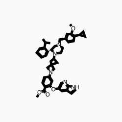 COC(=O)c1ccc(N2CC3(CC(N4CCN(Cc5ccc(C6CC6)c(OC)c5)C[C@H]4c4ccccc4C(C)C)C3)C2)cc1Oc1cnc2[nH]ccc2c1